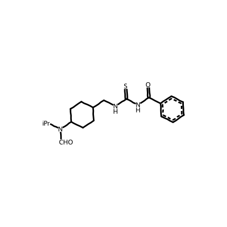 CC(C)N(C=O)C1CCC(CNC(=S)NC(=O)c2ccccc2)CC1